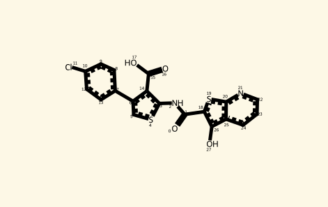 O=C(Nc1scc(-c2ccc(Cl)cc2)c1C(=O)O)c1sc2ncccc2c1O